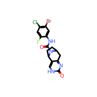 O=C(Nc1cc(Br)c(Cl)cc1F)N1C2CCC1c1c[nH]c(=O)nc1C2